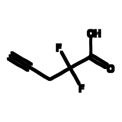 C#CCC(F)(F)C(=O)O